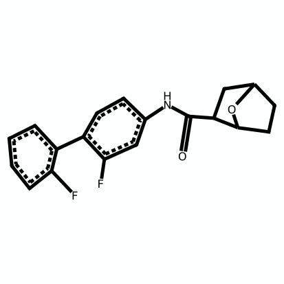 O=C(Nc1ccc(-c2ccccc2F)c(F)c1)C1CC2CCC1O2